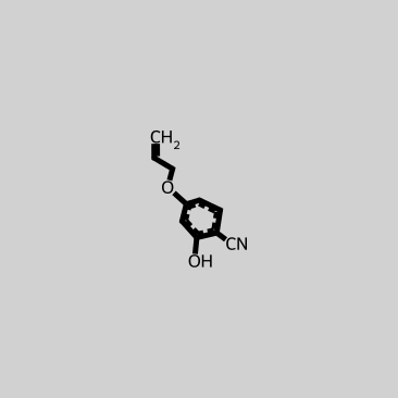 C=CCOc1ccc(C#N)c(O)c1